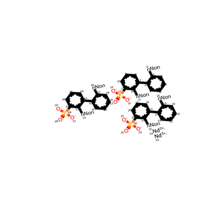 CCCCCCCCCc1ccccc1-c1cccc(P(=O)([O-])[O-])c1CCCCCCCCC.CCCCCCCCCc1ccccc1-c1cccc(P(=O)([O-])[O-])c1CCCCCCCCC.CCCCCCCCCc1ccccc1-c1cccc(P(=O)([O-])[O-])c1CCCCCCCCC.[Nd+3].[Nd+3]